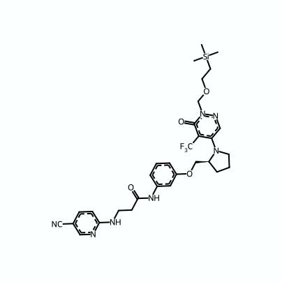 C[Si](C)(C)CCOCn1ncc(N2CCC[C@H]2COc2cccc(NC(=O)CCNc3ccc(C#N)cn3)c2)c(C(F)(F)F)c1=O